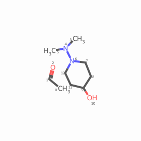 CC=O.CN(C)N1CCC(O)CC1